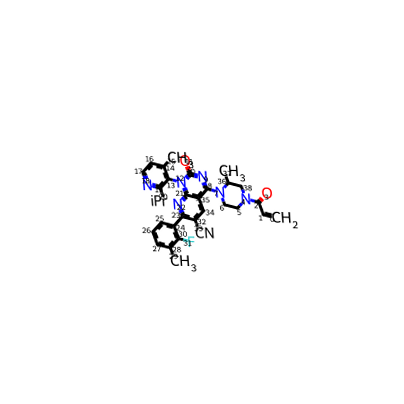 C=CC(=O)N1CCN(c2nc(=O)n(-c3c(C)ccnc3C(C)C)c3nc(-c4cccc(C)c4F)c(C#N)cc23)C(C)C1